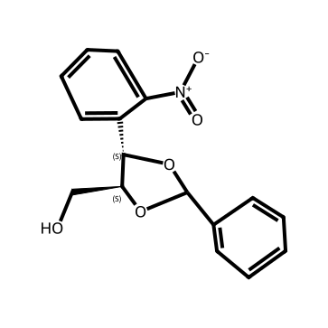 O=[N+]([O-])c1ccccc1[C@@H]1OC(c2ccccc2)O[C@H]1CO